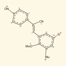 COc1c(/C=C(\C#N)c2ccc(N=O)cc2)cc(Br)cc1C(C)(C)C